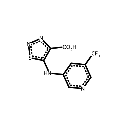 O=C(O)c1nnsc1Nc1cncc(C(F)(F)F)c1